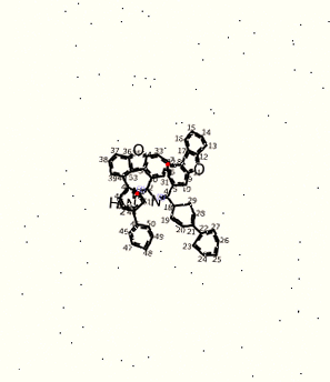 N/N=C(\N=C(/c1ccc2c(c1)oc1ccccc12)C1C=CC(c2ccccc2)=CC1)c1cccc2oc3cccc(-c4ccc(-c5ccccc5)cc4)c3c12